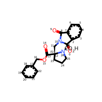 O=C1c2ccccc2C(=O)N1C[C@]1(C(=O)OCc2ccccc2)CCCN1C(=O)O